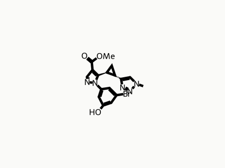 COC(=O)c1cnn(-c2cc(O)cc(Br)c2)c1[C@H]1C[C@@H]1c1cn(C)nn1